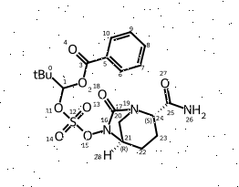 CC(C)(C)C(OC(=O)c1ccccc1)OS(=O)(=O)ON1C(=O)N2C[C@H]1CC[C@H]2C(N)=O